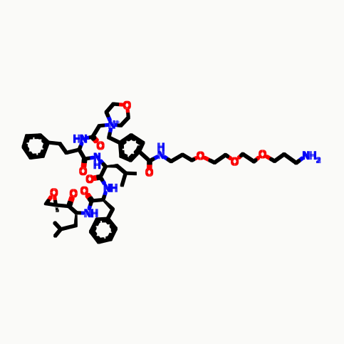 CC(C)C[C@H](NC(=O)C(CCc1ccccc1)NC(=O)C[N+]1(Cc2ccc(C(=O)NCCCOCCOCCOCCCN)cc2)CCOCC1)C(=O)N[C@@H](Cc1ccccc1)C(=O)N[C@@H](CC(C)C)C(=O)[C@@]1(C)CO1